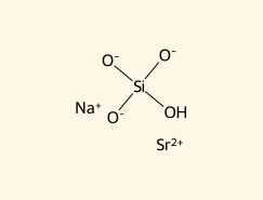 [Na+].[O-][Si]([O-])([O-])O.[Sr+2]